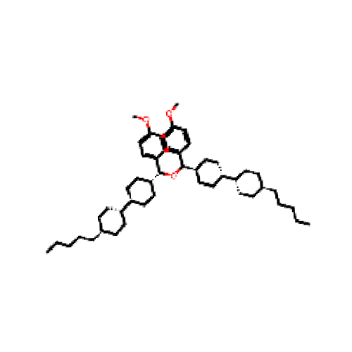 CCCCC[C@H]1CC[C@H]([C@H]2CC[C@H](C(OC(c3ccc(OC)cc3)[C@H]3CC[C@H]([C@H]4CC[C@H](CCCCC)CC4)CC3)c3ccc(OC)cc3)CC2)CC1